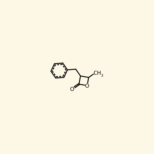 CC1OC(=O)C1Cc1ccccc1